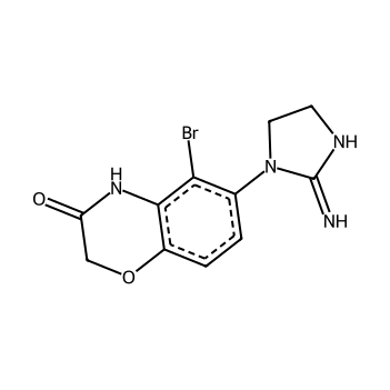 N=C1NCCN1c1ccc2c(c1Br)NC(=O)CO2